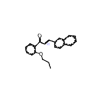 CCCOc1ccccc1C(=O)/C=C/c1ccc2ccccc2c1